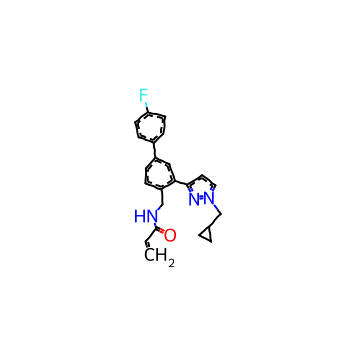 C=CC(=O)NCc1ccc(-c2ccc(F)cc2)cc1-c1ccn(CC2CC2)n1